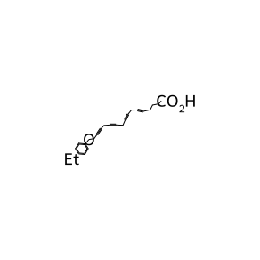 CCc1ccc(OCC#CCC#CCC#CCC#CCCCC(=O)O)cc1